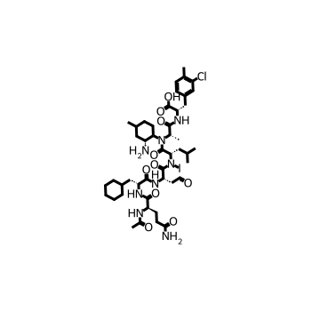 CC(=O)N[C@H](CCC(N)=O)C(=O)N[C@H](CC1CCCCC1)C(=O)N[C@@H](CC=O)C(=O)N(I)[C@@H](CC(C)C)C(=O)N(C1CCC(C)C[C@H]1N)[C@@H](C)C(=O)N[C@@H](Cc1ccc(C)c(Cl)c1)C(=O)O